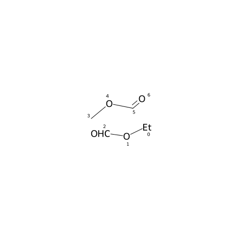 CCOC=O.COC=O